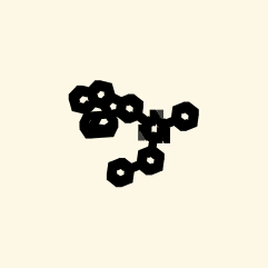 c1ccc(-c2cccc(-c3nc(-c4ccccc4)nc(-c4ccc5c(c4)C4(c6c-5ccc5ccccc65)C5CC6CC(C5)CC4C6)n3)c2)cc1